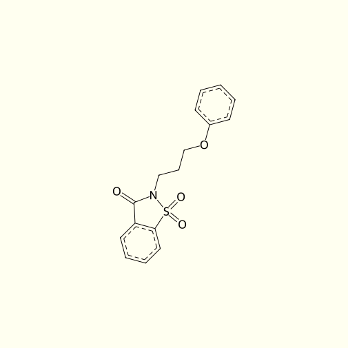 O=C1c2ccccc2S(=O)(=O)N1CCCOc1ccccc1